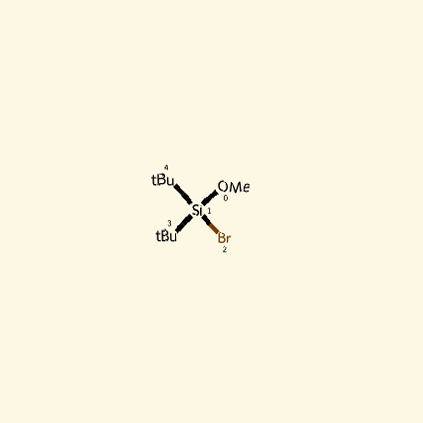 CO[Si](Br)(C(C)(C)C)C(C)(C)C